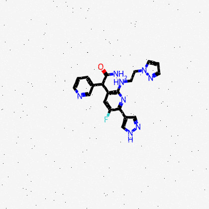 NC(=O)C(c1cccnc1)c1cc(F)c(-c2cn[nH]c2)nc1NCCn1cccn1